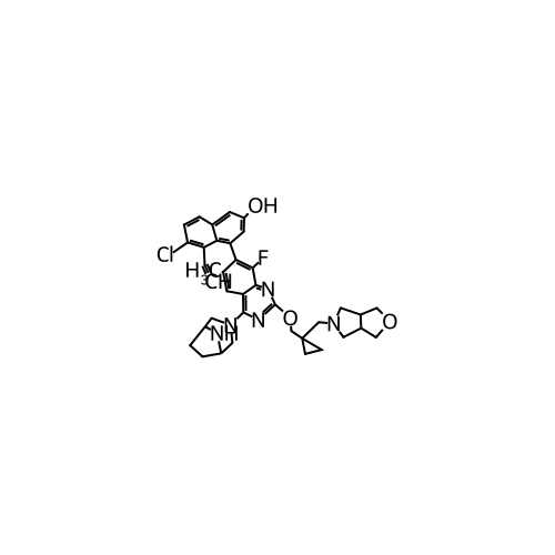 C#Cc1c(Cl)ccc2cc(O)cc(-c3c(C)cc4c(N5CC6CCC(C5)N6)nc(OCC5(CN6CC7COCC7C6)CC5)nc4c3F)c12